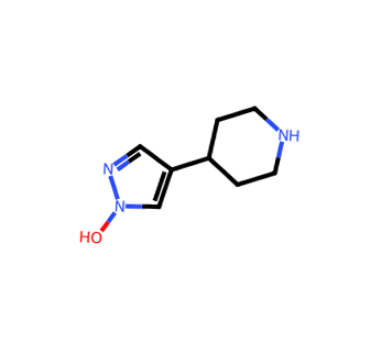 On1cc(C2CCNCC2)cn1